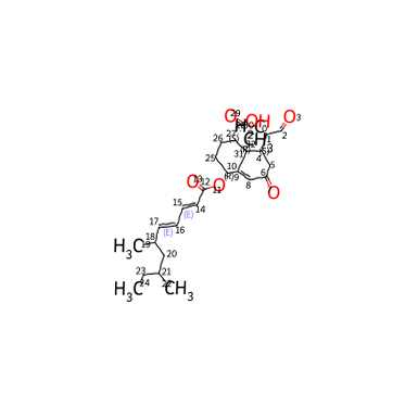 C=C(C=O)[C@H]1CC(=O)C=C2[C@H](OC(=O)/C=C/C=C/C(C)CC(C)CC)CC[C@H](C(=O)O)[C@]21C